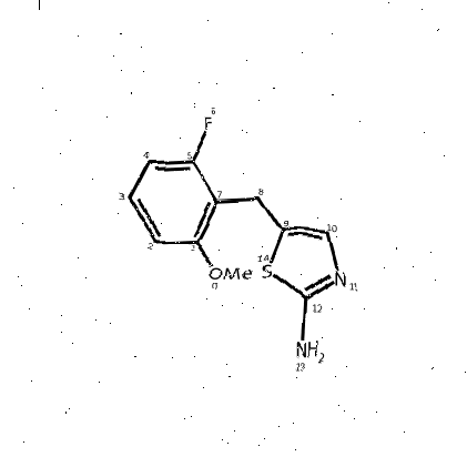 COc1cccc(F)c1Cc1cnc(N)s1